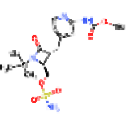 CC(C)(C)OC(=O)Nc1cc(C[C@H]2C(=O)N([Si](C)(C)C(C)(C)C)[C@@H]2COS(N)(=O)=O)ccn1